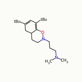 CN(C)CCCN1CCC2CC(C(C)(C)C)=CC(C(C)(C)C)=C2O1